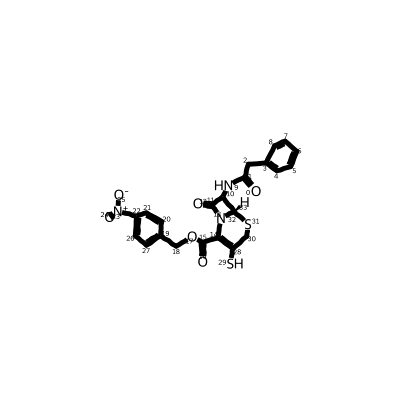 O=C(Cc1ccccc1)NC1C(=O)N2C(C(=O)OCc3ccc([N+](=O)[O-])cc3)=C(S)CS[C@@H]12